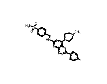 CN1CCN(c2nc(NCc3ccc(S(N)(=O)=O)cc3)nc3nnc(-c4ccc(F)cc4)nc23)CC1